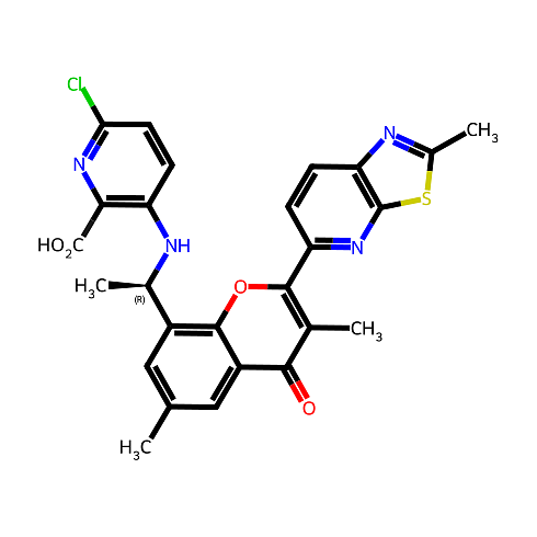 Cc1cc([C@@H](C)Nc2ccc(Cl)nc2C(=O)O)c2oc(-c3ccc4nc(C)sc4n3)c(C)c(=O)c2c1